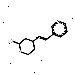 OC1CC(C=Cc2cccnc2)CCO1